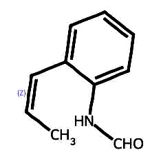 C/C=C\c1ccccc1NC=O